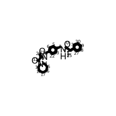 O=C(NCc1ccc(-c2nc(C(=O)N3CCCCCC3)co2)cc1)C(F)c1ccccc1